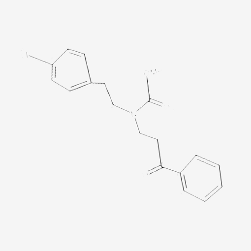 COC(=O)N(CCC(=O)c1ccccc1)CCc1ccc(Cl)cc1